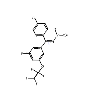 CC(C)(C)[S+]([O-])/N=C(/c1cc(F)cc(OC(F)(F)C(F)F)c1)c1ccc(Cl)cn1